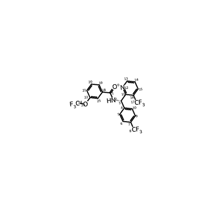 O=C(N[C@@H](c1ccc(C(F)(F)F)cc1)c1ncccc1C(F)(F)F)c1cccc(OC(F)(F)F)c1